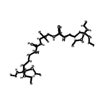 CCO[Si](CCCNC(=O)OCC(C)(C)COC(=O)NCCC[Si](OCC)(OCC)OCC)(OCC)OCC